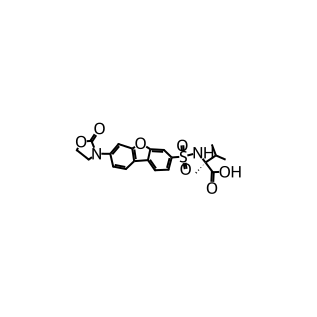 CC(C)[C@](C)(NS(=O)(=O)c1ccc2c(c1)oc1cc(N3CCOC3=O)ccc12)C(=O)O